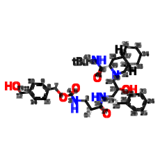 C[C@H](CNC(=O)OCc1ccc(CO)cc1)C(=O)N[C@@H](Cc1ccccc1)[C@H](O)CN1C[C@H]2CCCC[C@H]2C[C@H]1C(=O)NC(C)(C)C